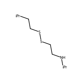 CC(C)CCSSCCNC(C)C